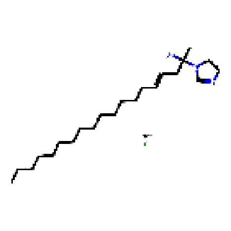 CCCCCCCCCCCCCCC=CCC(C)(N)N1C=NCC1.[Cl-].[Na+]